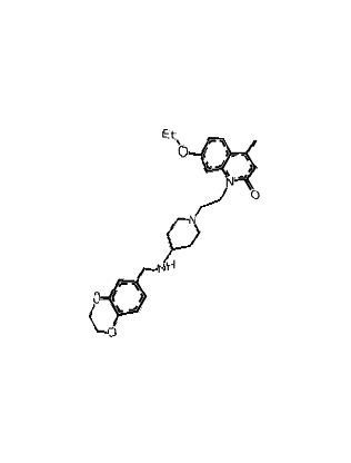 CCOc1ccc2c(C)cc(=O)n(CCN3CCC(NCc4ccc5c(c4)OCCO5)CC3)c2c1